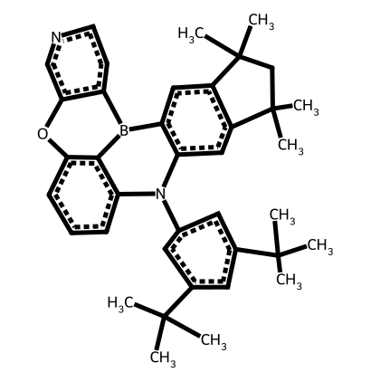 CC(C)(C)c1cc(N2c3cc4c(cc3B3c5ccncc5Oc5cccc2c53)C(C)(C)CC4(C)C)cc(C(C)(C)C)c1